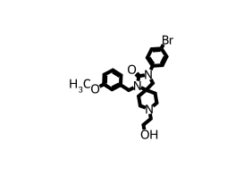 COc1cccc(CN2C(=O)N(c3ccc(Br)cc3)CC23CCN(CCO)CC3)c1